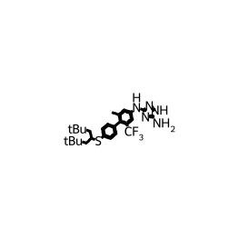 Cc1cc(Nc2n[nH]c(N)n2)cc(C(F)(F)F)c1-c1ccc(SC(CC(C)(C)C)CC(C)(C)C)cc1